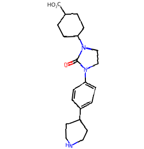 O=C(O)C1CCC(N2CCN(c3ccc(C4CCNCC4)cc3)C2=O)CC1